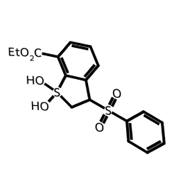 CCOC(=O)c1cccc2c1S(O)(O)CC2S(=O)(=O)c1ccccc1